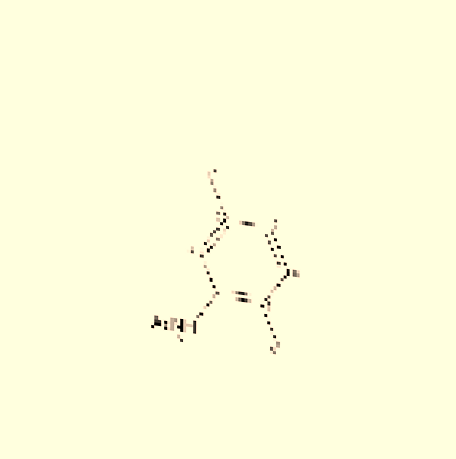 CC(=O)Nc1cc(C)[c]cc1C